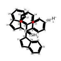 [H-].[H-].[SiH2]=[Ti]([c]1ccccc1)([c]1ccccc1)([CH]1C=Cc2ccccc21)[CH]1C=Cc2ccccc21